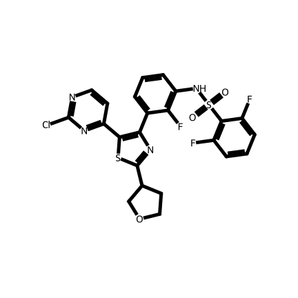 O=S(=O)(Nc1cccc(-c2nc(C3CCOC3)sc2-c2ccnc(Cl)n2)c1F)c1c(F)cccc1F